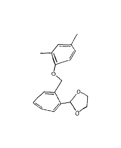 Cc1ccc(OCc2ccccc2C2OCCO2)c(C)c1